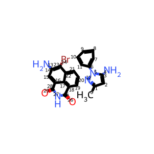 Cc1cc(N)n(-c2ccccc2)n1.Nc1cc2c3c(cccc3c1Br)C(=O)NC2=O